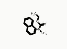 CCOC(=O)NC.c1ccc2ccccc2c1